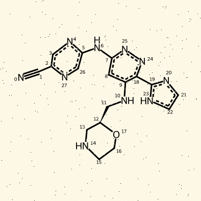 N#Cc1cnc(Nc2cc(NC[C@@H]3CNCCO3)c(-c3ncc[nH]3)nn2)cn1